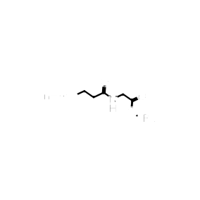 CCCCCCCCCC(=O)NCC(=O)OC(C)(C)C